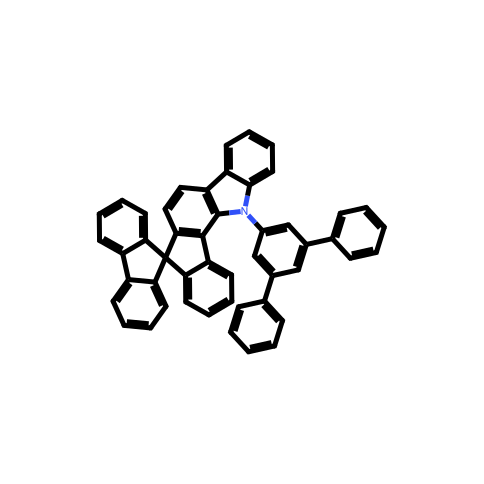 c1ccc(-c2cc(-c3ccccc3)cc(-n3c4ccccc4c4ccc5c(c43)-c3ccccc3C53c4ccccc4-c4ccccc43)c2)cc1